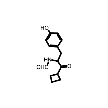 O=CNC(Cc1ccc(O)cc1)C(=O)C1CCC1